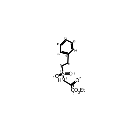 CCOC(=O)C(=O)NS(=O)(=O)CCc1ccccc1